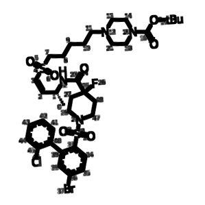 C[C@H](/C=C\S(=O)(=O)CCCCCN1CCN(C(=O)OC(C)(C)C)CC1)NC(=O)C1(F)CCN(S(=O)(=O)c2ccc(Br)cc2-c2ccccc2Cl)CC1